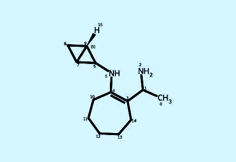 CC(N)C1=C(NC2C3C[C@@H]32)CCCCC1